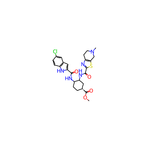 COC(=O)[C@H]1CCC(NC(=O)c2cc3cc(Cl)ccc3[nH]2)C(NC(=O)c2nc3c(s2)CN(C)CC3)C1